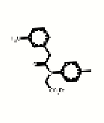 CCOC(=O)CN(C(=O)Cc1cccc(C(F)(F)F)c1)c1ccc(C)cc1